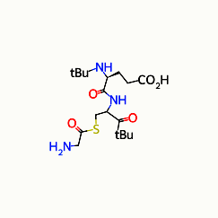 CC(C)(C)N[C@@H](CCC(=O)O)C(=O)NC(CSC(=O)CN)C(=O)C(C)(C)C